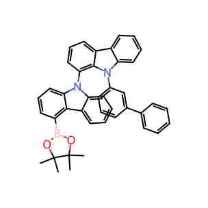 CC1(C)OB(c2cccc3c2c2ccccc2n3-c2cccc3c4ccccc4n(-c4cccc(-c5ccccc5)c4)c23)OC1(C)C